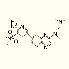 CN(C)CCN(C)c1cnc2ccc(-c3cnc(N)c(S(=O)(=O)N(C)C)c3)cc2n1